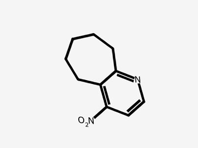 O=[N+]([O-])c1ccnc2c1CCCCC2